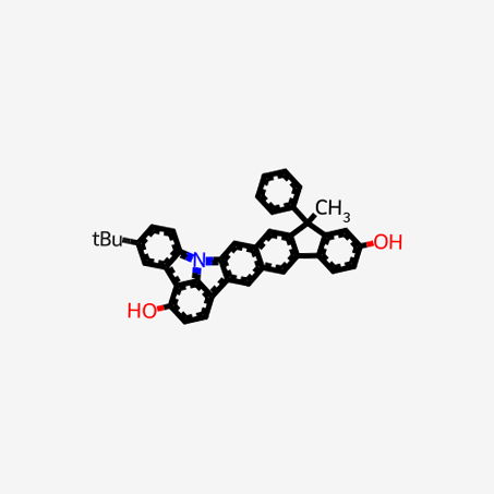 CC(C)(C)c1ccc2c(c1)c1c(O)ccc3c4cc5cc6c(cc5cc4n2c31)C(C)(c1ccccc1)c1cc(O)ccc1-6